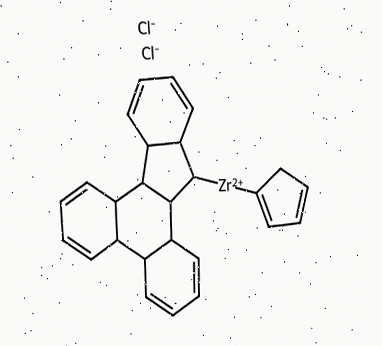 C1=CC[C]([Zr+2][CH]2C3C=CC=CC3C3C4C=CC=CC4C4C=CC=CC4C23)=C1.[Cl-].[Cl-]